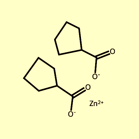 O=C([O-])C1CCCC1.O=C([O-])C1CCCC1.[Zn+2]